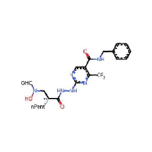 CCCCC[C@H](CN(O)C=O)C(=O)NNc1ncc(C(=O)NCc2ccccc2)c(C(F)(F)F)n1